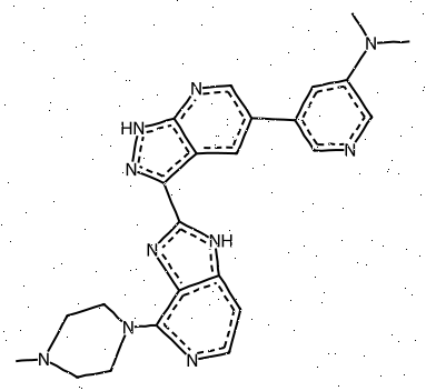 CN1CCN(c2nccc3[nH]c(-c4n[nH]c5ncc(-c6cncc(N(C)C)c6)cc45)nc23)CC1